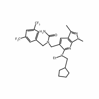 CCN(CC1CCCC1)c1nc2c(cc1CN(Cc1cc(C(F)(F)F)cc(C(F)(F)F)c1)C(N)=O)c(C)nn2C